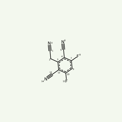 N#CCc1c(C#N)c(F)cc(F)c1C#N